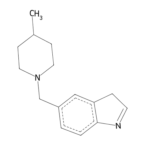 CC1CCN(Cc2ccc3c(c2)CC=N3)CC1